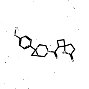 O=C1CCC2(CCC2C(=O)N2CCC3(c4ccc(OC(F)(F)F)cc4)CC3C2)N1